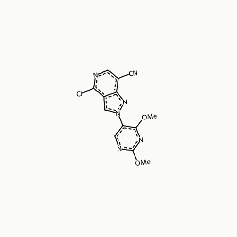 COc1ncc(-n2cc3c(Cl)ncc(C#N)c3n2)c(OC)n1